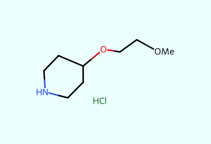 COCCOC1CCNCC1.Cl